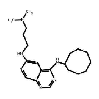 CN(C)CCCNc1cc2c(NC3CCCCCCC3)ncnc2cn1